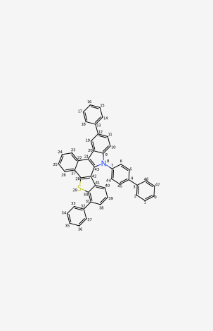 c1ccc(-c2ccc(-n3c4ccc(-c5ccccc5)cc4c4c5ccccc5c5sc6c(-c7ccccc7)cccc6c5c43)cc2)cc1